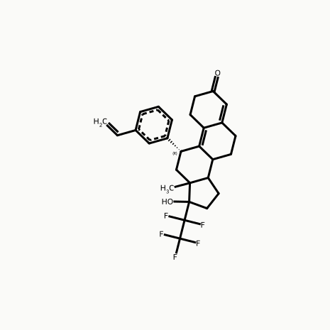 C=Cc1cccc([C@H]2CC3(C)C(CCC3(O)C(F)(F)C(F)(F)F)C3CCC4=CC(=O)CCC4=C32)c1